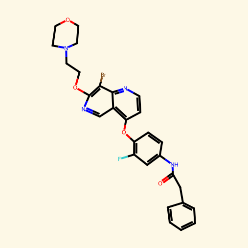 O=C(Cc1[c]cccc1)Nc1ccc(Oc2ccnc3c(Br)c(OCCN4CCOCC4)ncc23)c(F)c1